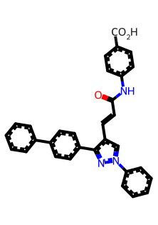 O=C(C=Cc1cn(-c2ccccc2)nc1-c1ccc(-c2ccccc2)cc1)Nc1ccc(C(=O)O)cc1